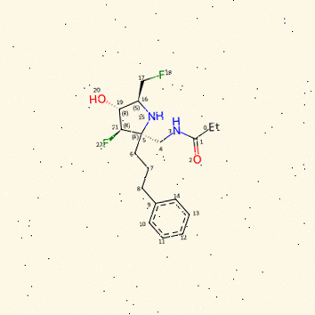 CCC(=O)NC[C@@]1(CCCc2ccccc2)N[C@H](CF)[C@@H](O)[C@@H]1F